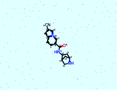 N#Cc1cc2ccc(C(=O)NC3CC4CC3CN4)cn2c1